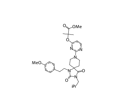 COC(=O)C(C)(C)Oc1ccnc(N2CCC3(CC2)C(=O)N(CC(C)C)C(=O)N3CCc2ccc(OC)cc2)n1